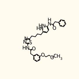 COCCOc1cccc(CC(=O)Nc2nnc(CCCCC3=CC=C(NC(=O)Cc4ccccc4)NN3)s2)c1